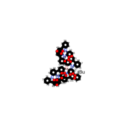 CC(C)(C)c1ccccc1-c1cc2c3c(c1)N(c1ccccc1-c1ccccc1)c1cc(-c4cccc(-n5c6ccccc6c6ccccc65)c4-n4c5ccccc5c5ccccc54)ccc1B3c1ccc(-c3cccc(-n4c5ccccc5c5ccccc54)c3-n3c4ccccc4c4ccccc43)cc1N2c1ccccc1-c1ccccc1